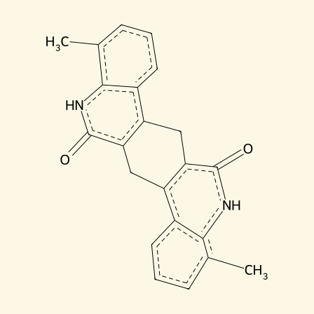 Cc1cccc2c3c(c(=O)[nH]c12)Cc1c(c(=O)[nH]c2c(C)cccc12)C3